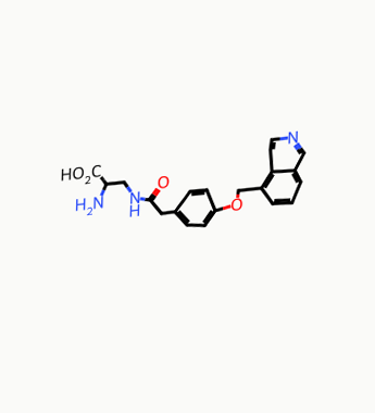 NC(CNC(=O)Cc1ccc(OCc2cccc3cnccc23)cc1)C(=O)O